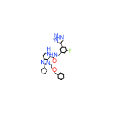 CN/C=C(\CNC)c1cc(F)cc(CNC(=O)C2NC=Cc3nc(C4CCCC4)n(CCOCc4ccccc4)c32)c1